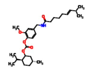 COc1cc(CNC(=O)CCCC/C=C/C(C)C)ccc1OC(=O)OC1C[C@H](C)CC[C@H]1C(C)C